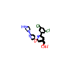 OCc1cc(Oc2ccc(N3CCNCC3)nc2)nc(-c2cc(Cl)cc(Cl)c2)c1